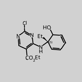 CCOC(=O)c1cnc(Cl)nc1N[C@@]1(CC)C=CC=CC1O